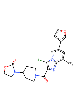 O=C(c1nc2c(C(F)(F)F)cc(-c3ccoc3)cn2c1Cl)N1CCC(N2CCOC2=O)CC1